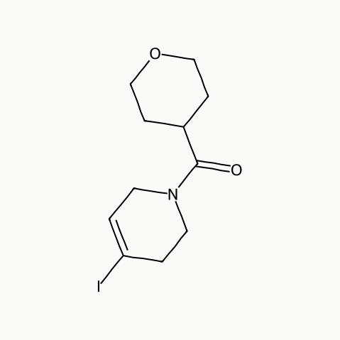 O=C(C1CCOCC1)N1CC=C(I)CC1